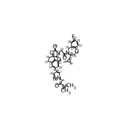 CN(C)C(=O)Cn1cc(-c2ccc3c(c2)CCC32OC(=O)N(CC(=O)N3Cc4cc(F)ccc4OC[C@H]3C3CC3)C2=O)cn1